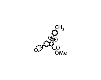 COC(=O)Cc1cn(S(=O)(=O)c2ccc(C)cc2)c2ccc(N3CCOCC3)cc12